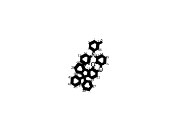 Cc1cccc(N(c2ccccc2)c2cccc3c2Oc2c(ccc4c2-c2ccccc2C4(c2ccccc2)c2ccccc2)O3)c1